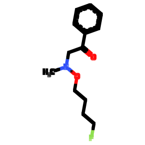 CN(CC(=O)c1ccccc1)OCCCCF